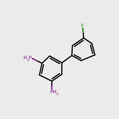 Fc1cccc(-c2cc(P)cc(P)c2)c1